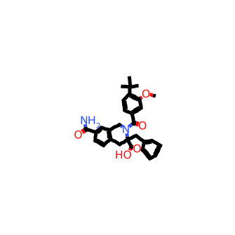 COc1cc(C(=O)N2Cc3cc(C(N)=O)ccc3CC2(Cc2ccccc2)C(=O)O)ccc1C(C)(C)C